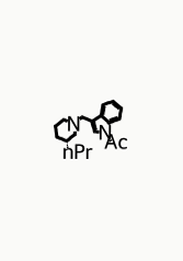 CCC[C@@H]1CCCN(Cc2cn(C(C)=O)c3ccccc23)C1